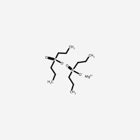 CCCP(=O)([O-])CCC.CCCP(=O)([O-])CCC.[Mg+2]